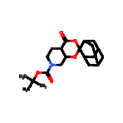 CC(C)(C)OC(=O)N1CCC2C(=O)OC3(OC2C1)C1CC2CC(C1)CC3C2